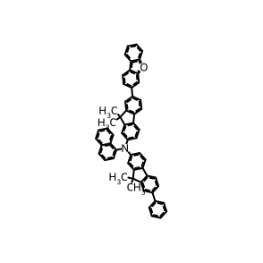 CC1(C)c2cc(-c3ccccc3)ccc2-c2ccc(N(c3ccc4c(c3)C(C)(C)c3cc(-c5ccc6c(c5)oc5ccccc56)ccc3-4)c3cccc4ccccc34)cc21